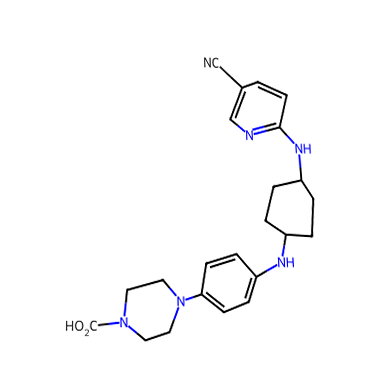 N#Cc1ccc(NC2CCC(Nc3ccc(N4CCN(C(=O)O)CC4)cc3)CC2)nc1